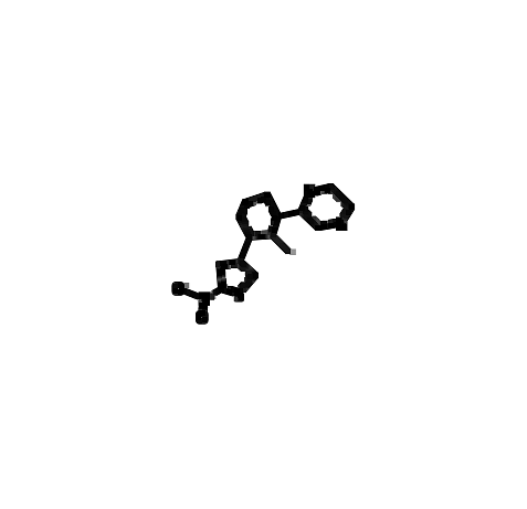 [CH2]c1c(-c2csc([N+](=O)[O-])c2)cccc1-c1cnccn1